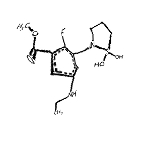 CCNc1cc(C(=O)OC)c(F)c(N2CCCS2(O)O)c1